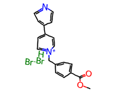 Br.COC(=O)c1ccc(C[n+]2ccc(-c3ccncc3)cc2)cc1.[Br-]